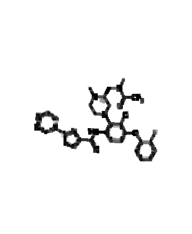 CN(C[C@H]1CN(c2c(NC(=O)c3ccn(-c4ccnnc4)n3)ccc(Oc3ccccc3F)c2Cl)CCN1C)C(=O)C(F)(F)F